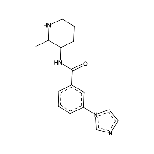 CC1NCCCC1NC(=O)c1cccc(-n2ccnc2)c1